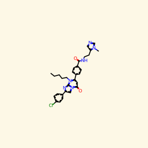 CCCCCn1c(-c2ccc(C(=O)NCCc3cncn3C)cc2)cc(=O)n2cc(-c3ccc(Cl)cc3)nc12